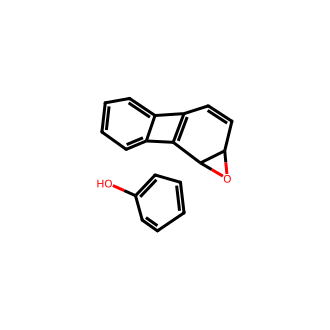 C1=CC2OC2C2=C1c1ccccc12.Oc1ccccc1